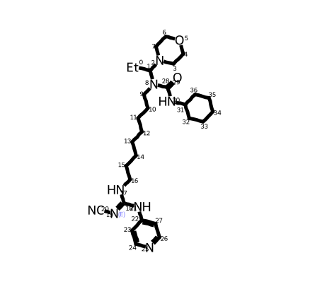 CCC(N1CCOCC1)N(CCCCCCCCN/C(=N\C#N)Nc1ccncc1)C(=O)NC1CCCCC1